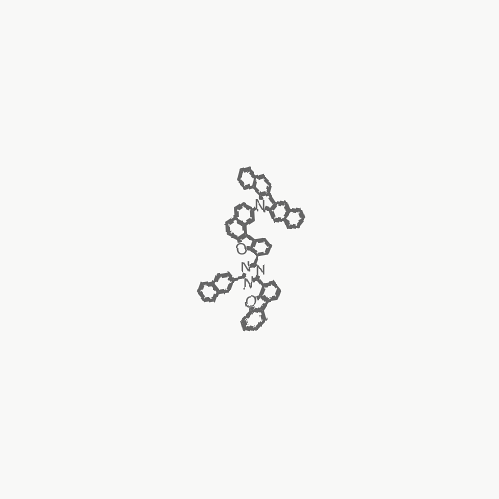 c1ccc2cc(-c3nc(-c4cccc5c4oc4ccccc45)nc(-c4cccc5c4oc4ccc6ccc(-n7c8cc9ccccc9cc8c8ccc9ccccc9c87)cc6c45)n3)ccc2c1